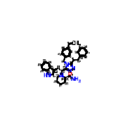 CCc1ccc(Cn2c(CCc3ccccc3)nnc2[C@@H](Cc2c[nH]c3ccccc23)N2CCCC[C@@H]2C(N)=O)cc1